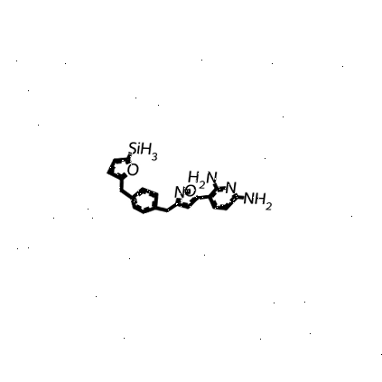 Nc1ccc(-c2cc(Cc3ccc(Cc4ccc([SiH3])o4)cc3)no2)c(N)n1